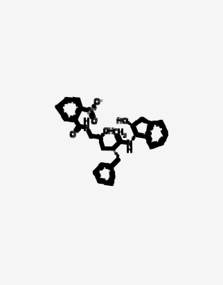 C=C(N[C@H]1c2ccccc2C[C@H]1O)[C@H](Cc1ccccc1)C[C@H](O)CNC(=O)c1ccccc1[N+](=O)[O-]